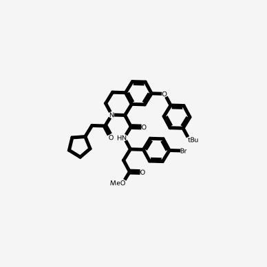 COC(=O)CC(NC(=O)C1c2cc(Oc3ccc(C(C)(C)C)cc3)ccc2CCN1C(=O)CC1CCCC1)c1ccc(Br)cc1